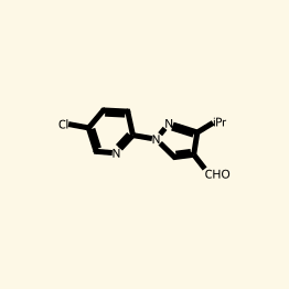 CC(C)c1nn(-c2ccc(Cl)cn2)cc1C=O